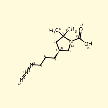 CC1(C)C[C@H](CCCN=[N+]=[N-])CN1C(=O)O